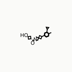 Cc1ccc(C2CC3(C2)CN(C(=O)[C@H]2C[C@@H](O)C2)C3)cc1C1CC1